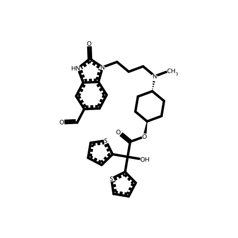 CN(CCCn1c(=O)[nH]c2cc(C=O)ccc21)[C@H]1CC[C@H](OC(=O)C(O)(c2cccs2)c2cccs2)CC1